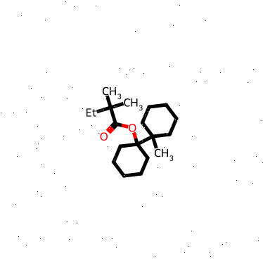 CCC(C)(C)C(=O)OC1(C2(C)CCCCC2)CCCCC1